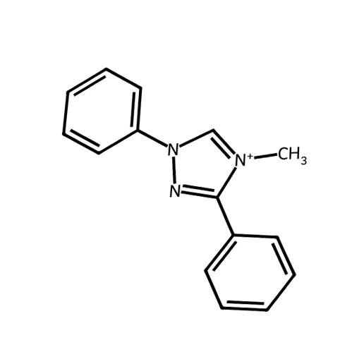 C[n+]1cn(-c2ccccc2)nc1-c1ccccc1